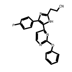 N#CCCc1nc(-c2ccc(F)cc2)c(-c2ccnc(Oc3ccccc3)n2)[nH]1